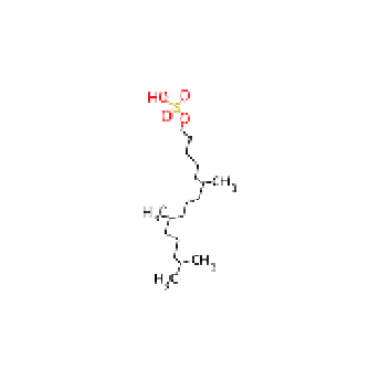 CC(C)CCCC(C)CCCC(C)CCCCCOS(=O)(=O)O